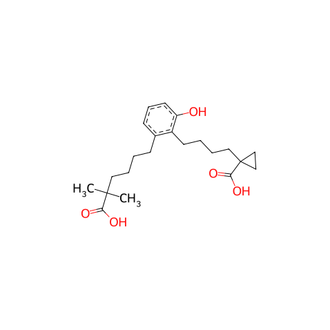 CC(C)(CCCCc1cccc(O)c1CCCCC1(C(=O)O)CC1)C(=O)O